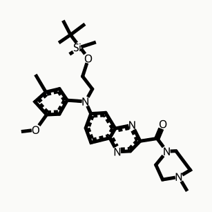 COc1cc(C)cc(N(CCO[Si](C)(C)C(C)(C)C)c2ccc3ncc(C(=O)N4CCN(C)CC4)nc3c2)c1